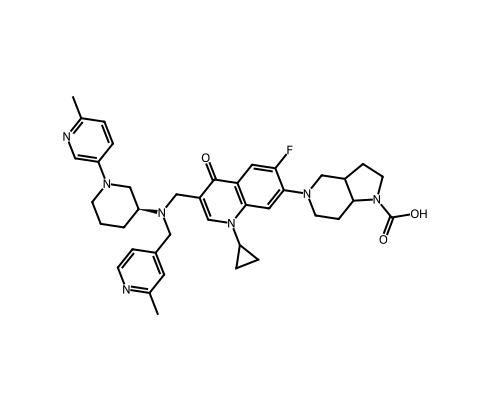 Cc1ccc(N2CCC[C@H](N(Cc3ccnc(C)c3)Cc3cn(C4CC4)c4cc(N5CCC6C(CCN6C(=O)O)C5)c(F)cc4c3=O)C2)cn1